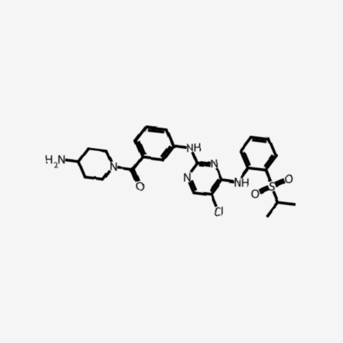 CC(C)S(=O)(=O)c1ccccc1Nc1nc(Nc2cccc(C(=O)N3CCC(N)CC3)c2)ncc1Cl